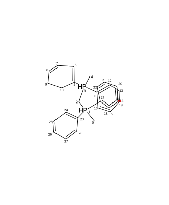 C[PH](C[PH](C)(C1=CC=CCC1)c1ccccc1)(C1=C=C=CC=C1)c1ccccc1